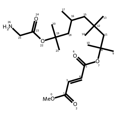 COC(=O)/C=C/C(=O)OC(C)(C)CC(C)(C)CC(C)CC(C)(C)OC(=O)CN